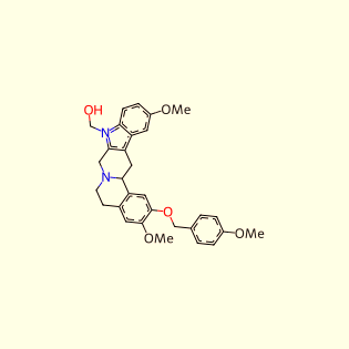 COc1ccc(COc2cc3c(cc2OC)CCN2Cc4c(c5cc(OC)ccc5n4CO)CC32)cc1